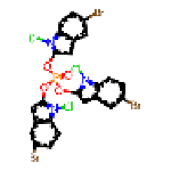 O=P(Oc1cc2cc(Br)ccc2n1Cl)(Oc1cc2cc(Br)ccc2n1Cl)Oc1cc2cc(Br)ccc2n1Cl